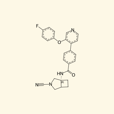 N#CN1CC2CC[C@]2(NC(=O)c2ccc(-c3ccncc3Oc3ccc(F)cc3)cc2)C1